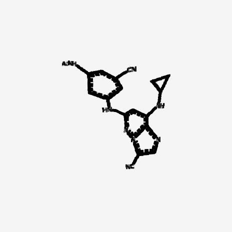 CC(=O)Nc1cc(C#N)cc(Nc2cc(NC3CC3)c3ncc(C#N)n3n2)c1